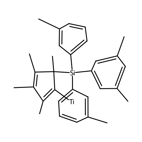 CC1=C(C)C(C)([Si](c2cccc(C)c2)(c2cccc(C)c2)c2cc(C)cc(C)c2)[C]([Ti])=C1C